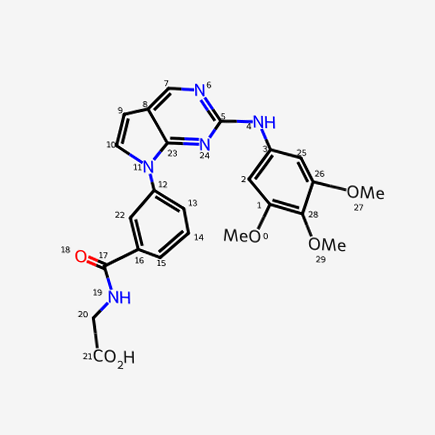 COc1cc(Nc2ncc3ccn(-c4cccc(C(=O)NCC(=O)O)c4)c3n2)cc(OC)c1OC